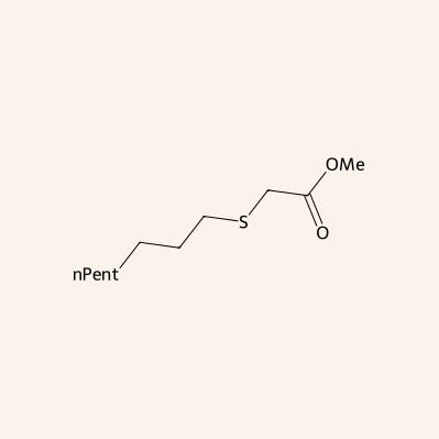 CCCCCCCCSCC(=O)OC